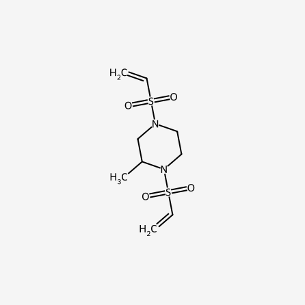 C=CS(=O)(=O)N1CCN(S(=O)(=O)C=C)C(C)C1